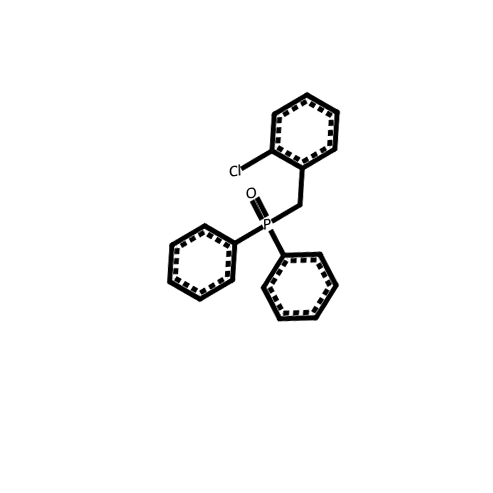 O=P(Cc1ccccc1Cl)(c1ccccc1)c1ccccc1